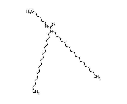 CCCCCC=NC(=O)N(CCCCCCCCCCCCCCCCCC)CCCCCCCCCCCCCCCCCC